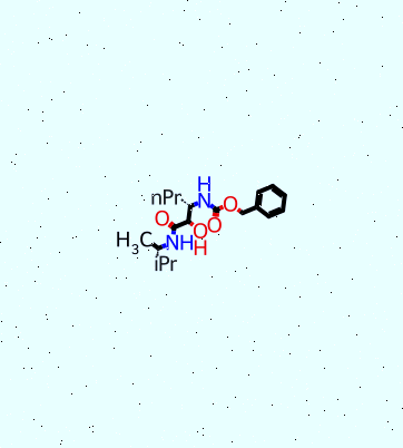 CCC[C@H](NC(=O)OCc1ccccc1)C(O)C(=O)N[C@@H](C)C(C)C